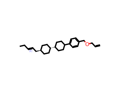 C=CCOCc1ccc(C2CCC([C@H]3CC[C@H](C/C=C/CC)CC3)CC2)cc1